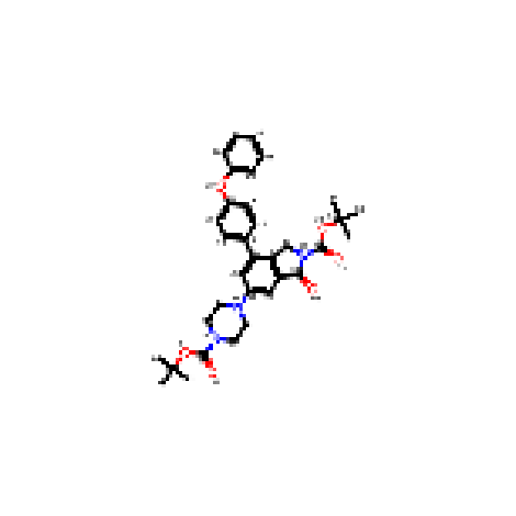 CC(C)(C)OC(=O)N1CCN(c2cc3c(c(-c4ccc(Oc5ccccc5)cc4)c2)CN(C(=O)OC(C)(C)C)C3=O)CC1